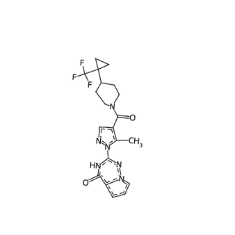 Cc1c(C(=O)N2CCC(C3(C(F)(F)F)CC3)CC2)cnn1-c1nn2cccc2c(=O)[nH]1